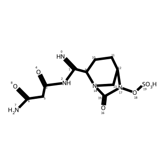 N=C(NC(=O)CC(N)=O)C1CCC2CN1C(=O)N2OS(=O)(=O)O